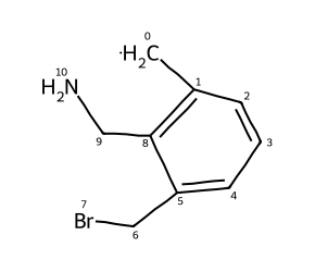 [CH2]c1cccc(CBr)c1CN